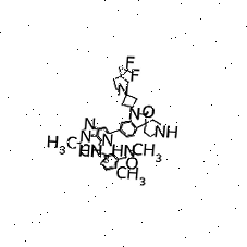 CNC(=O)c1cc(Nc2nc(-c3ccc4c(c3)N(C3CC(N5CCC6(C5)CC6(F)F)C3)C(=O)C43CCNCC3)cc3ncn(C(C)C)c23)ccc1C